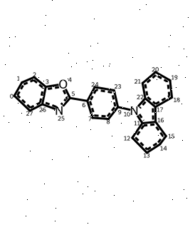 c1ccc2oc(-c3ccc(-n4c5ccccc5c5ccccc54)cc3)nc2c1